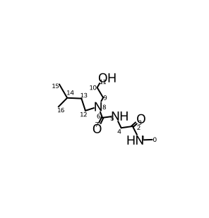 CNC(=O)CNC(=O)N(CCO)CCC(C)C